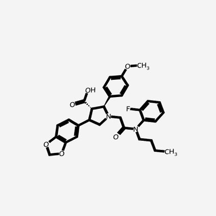 CCCCN(C(=O)CN1CC(c2ccc3c(c2)OCO3)[C@H](C(=O)O)[C@H]1c1ccc(OC)cc1)c1ccccc1F